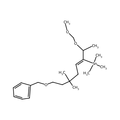 COCOC(C)[C](=CCC(C)(C)CCOCc1ccccc1)[Sn]([CH3])([CH3])[CH3]